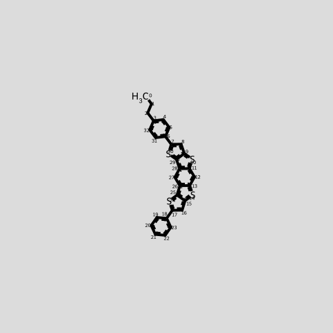 CCCc1ccc(-c2cc3sc4cc5sc6cc(-c7ccccc7)sc6c5cc4c3s2)cc1